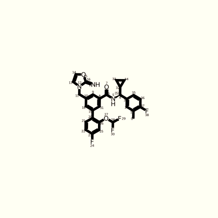 Cc1cc([C@@H](NC(=O)c2cc(Cn3ccoc3=N)cc(-c3ccc(F)cc3OC(F)F)c2)C2CC2)ccc1F